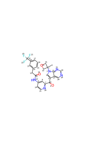 CC1(n2cc(C(=O)c3cc(NC(=O)Cc4cccc(C(F)(F)F)c4)ccn3)c3cncnc32)COC1